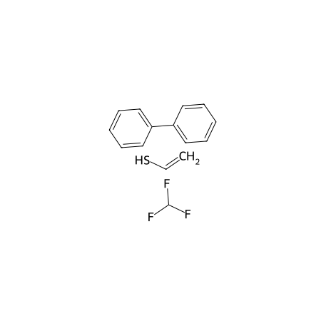 C=CS.FC(F)F.c1ccc(-c2ccccc2)cc1